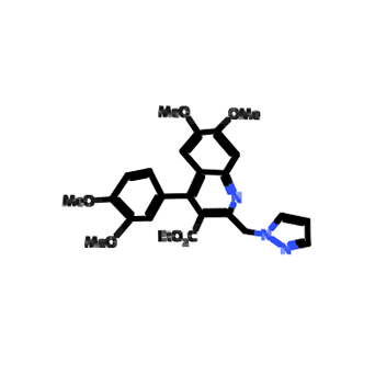 CCOC(=O)c1c(Cn2cccn2)nc2cc(OC)c(OC)cc2c1-c1ccc(OC)c(OC)c1